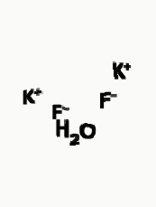 O.[F-].[F-].[K+].[K+]